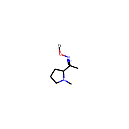 CCO/N=C(/C)C1CCCN1C